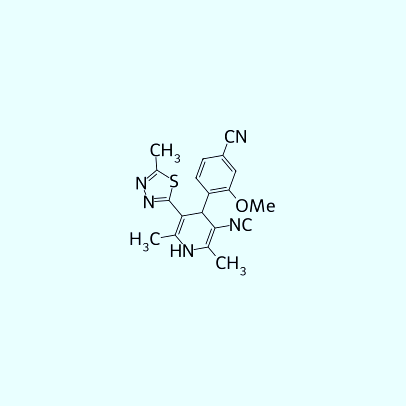 [C-]#[N+]C1=C(C)NC(C)=C(c2nnc(C)s2)C1c1ccc(C#N)cc1OC